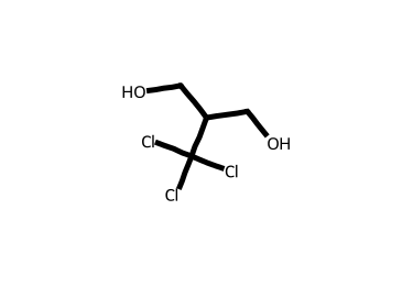 OCC(CO)C(Cl)(Cl)Cl